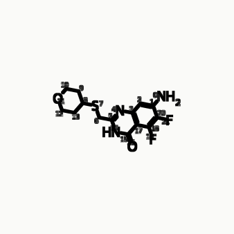 Nc1cc2nc(CSC3CCOCC3)[nH]c(=O)c2c(F)c1F